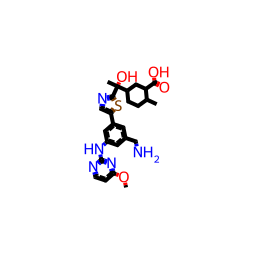 COc1ccnc(Nc2cc(CN)cc(-c3cnc(C(C)(O)C4CCC(C)C(C(=O)O)C4)s3)c2)n1